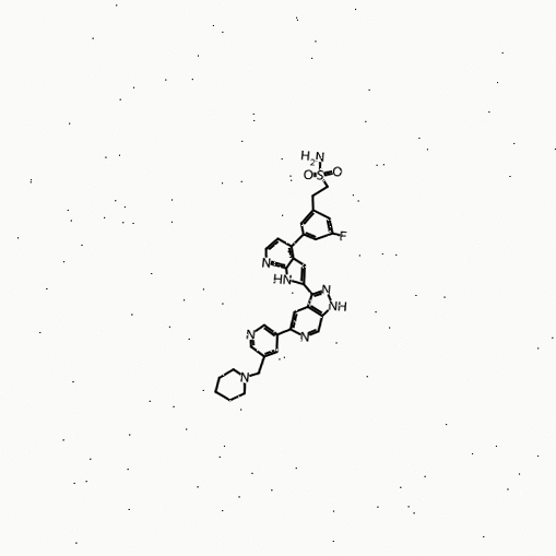 NS(=O)(=O)CCc1cc(F)cc(-c2ccnc3[nH]c(-c4n[nH]c5cnc(-c6cncc(CN7CCCCC7)c6)cc45)cc23)c1